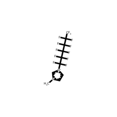 Cn1cc[n+](C(F)(F)C(F)(F)C(F)(F)C(F)(F)C(F)(F)C(F)(F)F)c1